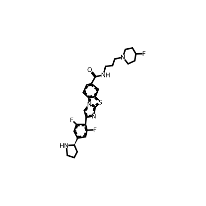 O=C(NCCCN1CCC(F)CC1)c1ccc2c(c1)sc1nc(-c3c(F)cc([C@H]4CCCN4)cc3F)cn12